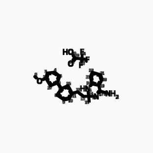 COc1cccc(-c2cccc(CCC3(C)N=C(N)c4ccccc4N3)c2)c1.O=C(O)C(F)(F)F